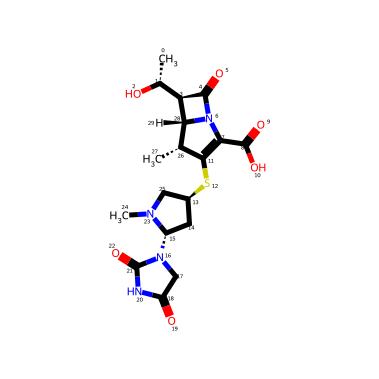 C[C@@H](O)[C@H]1C(=O)N2C(C(=O)O)=C(S[C@H]3C[C@H](N4CC(=O)NC4=O)N(C)C3)[C@H](C)[C@H]12